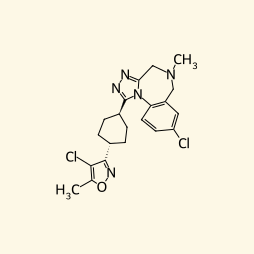 Cc1onc([C@H]2CC[C@H](c3nnc4n3-c3ccc(Cl)cc3CN(C)C4)CC2)c1Cl